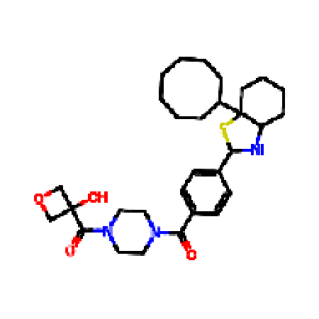 O=C(c1ccc(C2NC3CCCCC3(C3CCCCCCC3)S2)cc1)N1CCN(C(=O)C2(O)COC2)CC1